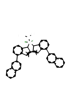 CC(C)C1=Cc2c(-c3ccc4ccccc4c3)cccc2[CH]1[Zr]([Cl])([Cl])([CH]1C(C(C)C)=Cc2c(-c3ccc4ccccc4c3)cccc21)[SiH](C)C